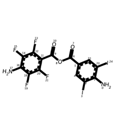 Nc1c(I)cc(C(=O)OC(=O)c2c(F)c(F)c(N)c(F)c2F)cc1I